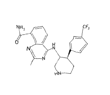 Cc1nc(NC2CNCC[C@@H]2c2ccc(C(F)(F)F)cc2)c2cccc(C(N)=O)c2n1